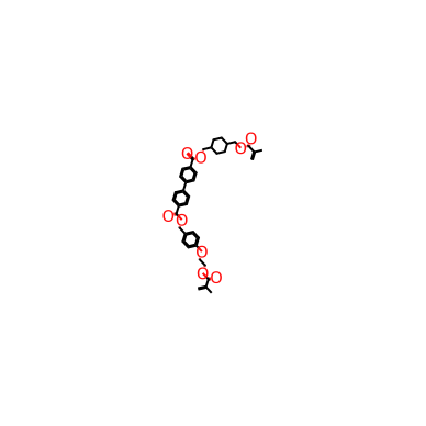 C=C(C)C(=O)OCCOc1ccc(COC(=O)c2ccc(-c3ccc(C(=O)OCC4CCC(COC(=O)C(=C)C)CC4)cc3)cc2)cc1